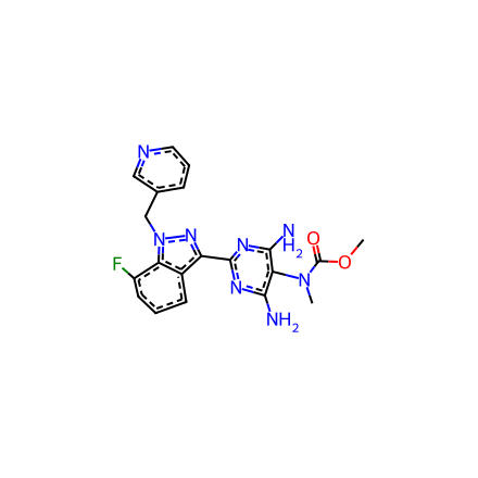 COC(=O)N(C)c1c(N)nc(-c2nn(Cc3cccnc3)c3c(F)cccc23)nc1N